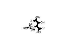 O=C(O)C(O)C(O)C(=O)O.OB(O)O